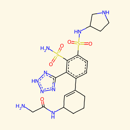 NCC(=O)NC1C=C(c2ccc(S(=O)(=O)NC3CCNC3)c(S(N)(=O)=O)c2-c2nn[nH]n2)CCC1